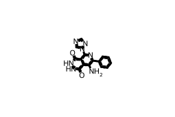 Nc1c(-c2ccccc2)nc(-n2cncn2)c2c(=O)[nH][nH]c(=O)c12